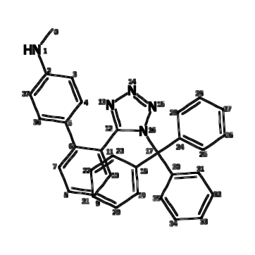 CNc1ccc(-c2ccccc2-c2nnnn2C(c2ccccc2)(c2ccccc2)c2ccccc2)cc1